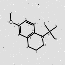 COc1ccc2c(c1)CCCN2C(C)(C)C